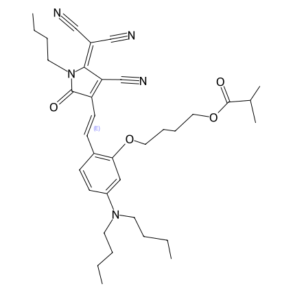 CCCCN1C(=O)C(/C=C/c2ccc(N(CCCC)CCCC)cc2OCCCCOC(=O)C(C)C)=C(C#N)C1=C(C#N)C#N